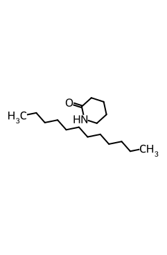 CCCCCCCCCCCC.O=C1CCCCN1